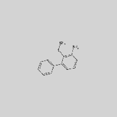 CSc1c(N)cccc1-c1ccccc1